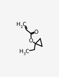 C=CC(=O)OC1(CC)CC1